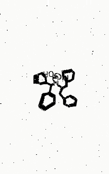 OP(O)N(C(Cc1ccccc1)Cc1ccccc1)C(c1ccccc1)c1ccccc1